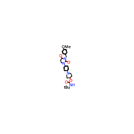 COc1ccc(CN2C(=O)CCN(c3ccc(N4CCC(OC(=O)NC(C)(C)C)CC4)cc3)C2=O)cc1